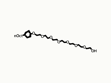 CCCCCCCCc1ccc(OCCOCCOCCOCCOCCOCCOCCO)cc1